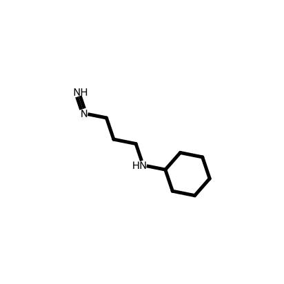 N=NCCCNC1CCCCC1